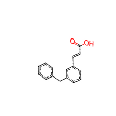 O=C(O)C=Cc1cccc(Cc2ccccc2)c1